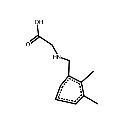 Cc1cccc(CNCC(=O)O)c1C